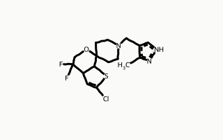 Cc1n[nH]cc1CN1CCC2(CC1)OCC(F)(F)C1C=C(Cl)SC12